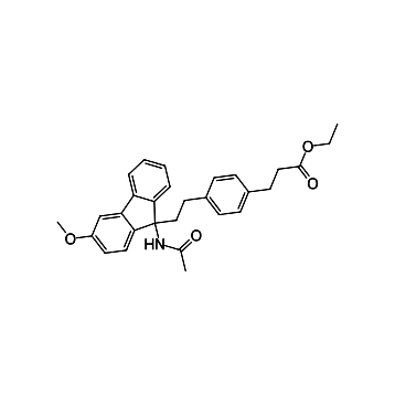 CCOC(=O)CCc1ccc(CCC2(NC(C)=O)c3ccccc3-c3cc(OC)ccc32)cc1